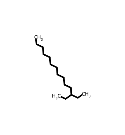 C[CH]C(CC)CCCCCCCCCCC